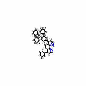 c1ccc(-c2ccnc3c2ccc2c(-c4ccc([Si](c5ccccc5)(c5ccccc5)c5ccccc5)cc4)ccnc23)cc1